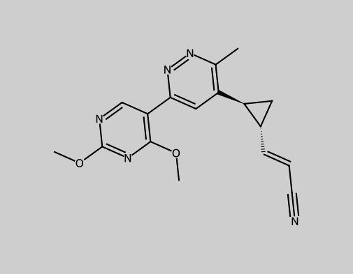 COc1ncc(-c2cc([C@H]3C[C@@H]3/C=C/C#N)c(C)nn2)c(OC)n1